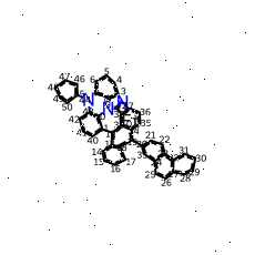 CCc1nc2cccc3c2n1-c1c(-c2c4ccccc4c(-c4ccc5c(ccc6ccccc65)c4)c4ccccc24)cccc1N3c1ccccc1